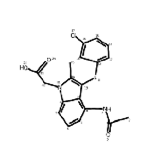 CC(=O)Nc1cccc2c1c(Sc1cccc(Cl)c1)c(C)n2CC(=O)O